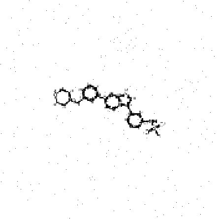 CS(=O)(=O)Nc1cccc(-c2cnc3cc(-c4cccc(CN5CCOCC5)c4)ccn23)c1